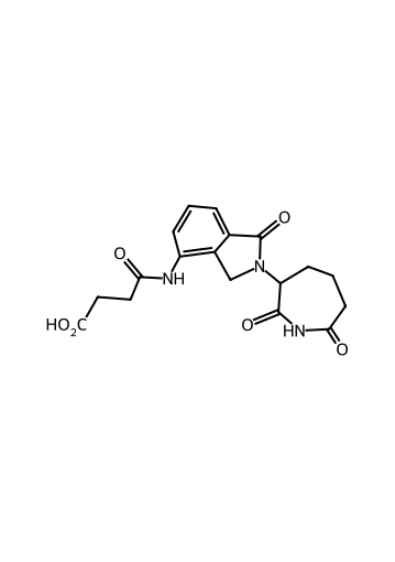 O=C(O)CCC(=O)Nc1cccc2c1CN(C1CCCC(=O)NC1=O)C2=O